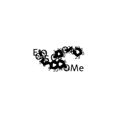 CCS(=O)(=O)c1ccc(-c2ccc3cc(OC)ccc3c2Oc2ccc(OCCN3CCCCC3)cc2)s1